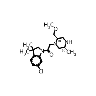 COC[C@H]1CN[C@H](C)CN1CC(=O)N1CC(C)(C)c2ccc(Cl)cc21